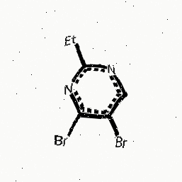 CCc1ncc(Br)c(Br)n1